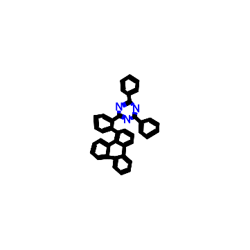 c1ccc(-c2nc(-c3ccccc3)nc(-c3ccccc3-c3cccc4c5ccccc5c5ccccc5c34)n2)cc1